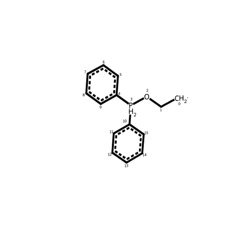 [CH2]CO[PH2](c1ccccc1)c1ccccc1